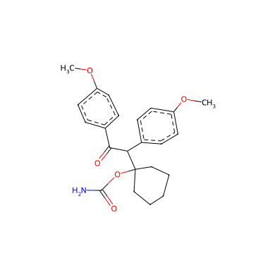 COc1ccc(C(=O)C(c2ccc(OC)cc2)C2(OC(N)=O)CCCCC2)cc1